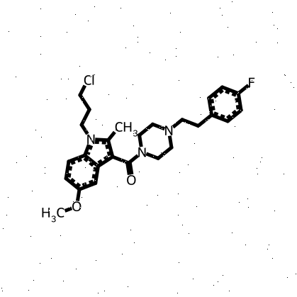 COc1ccc2c(c1)c(C(=O)N1CCN(CCc3ccc(F)cc3)CC1)c(C)n2CCCCl